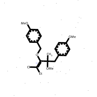 CC/C(Cl)=C(/OCc1ccc(OC)cc1)C(C)(Cc1ccc(OC)cc1)OC